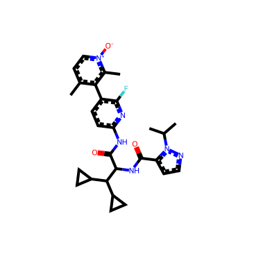 Cc1cc[n+]([O-])c(C)c1-c1ccc(NC(=O)C(NC(=O)c2ccnn2C(C)C)C(C2CC2)C2CC2)nc1F